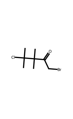 CC(C)(Cl)C(C)(C)C(=O)CBr